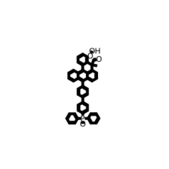 CC1(C(=O)OO)c2ccccc2-c2c3ccccc3c(-c3ccc(-c4ccc(P(=O)(c5ccccc5)c5ccccc5)cc4)cc3)c3cccc1c23